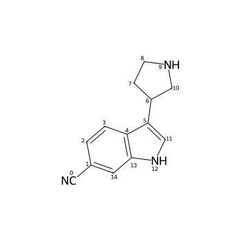 N#Cc1ccc2c(C3CCNC3)c[nH]c2c1